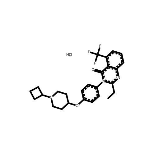 CCc1nc2cccc(C(F)(F)F)c2c(=O)n1-c1ccc(OC2CCN(C3CCC3)CC2)cc1.Cl